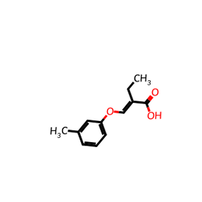 CC/C(=C\Oc1cccc(C)c1)C(=O)O